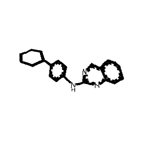 c1ccc2nc(Nc3ccc(C4CCCCC4)cc3)ncc2c1